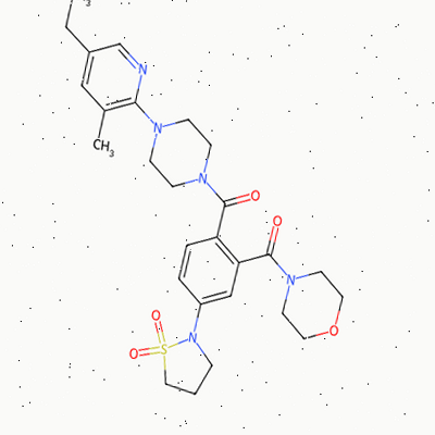 CCc1cnc(N2CCN(C(=O)c3ccc(N4CCCS4(=O)=O)cc3C(=O)N3CCOCC3)CC2)c(C)c1